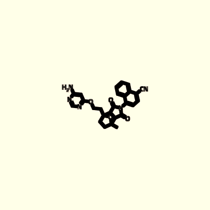 CC12CCC(CCOc3cc(N)ncn3)(O1)C1C(=O)N(c3ccc(C#N)c4ccccc34)C(=O)C12